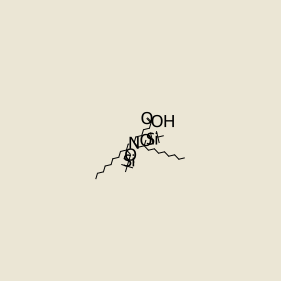 CCCCCCCCC(CN(CCCCC(=O)O)CC(CCCCCCCC)O[Si](C)(C)C(C)(C)C)O[Si](C)(C)C(C)(C)C